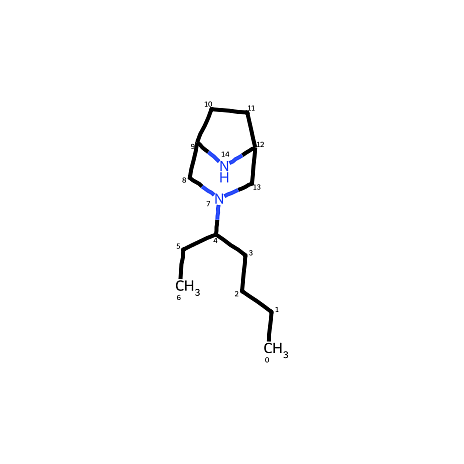 CCCCC(CC)N1CC2CCC(C1)N2